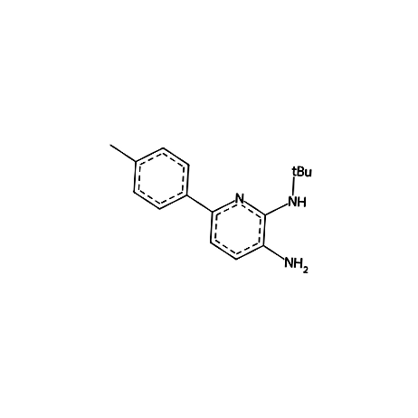 Cc1ccc(-c2ccc(N)c(NC(C)(C)C)n2)cc1